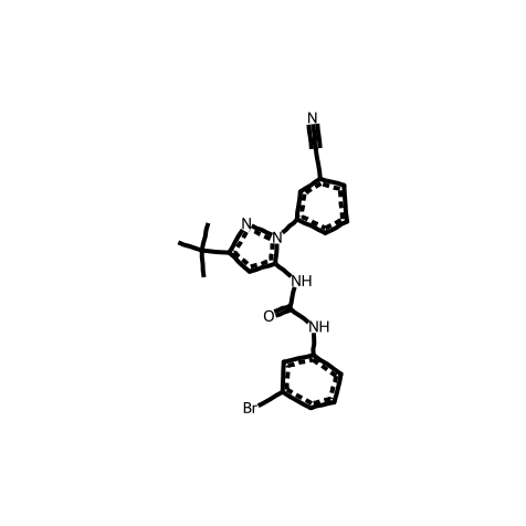 CC(C)(C)c1cc(NC(=O)Nc2cccc(Br)c2)n(-c2cccc(C#N)c2)n1